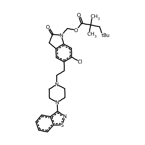 CC(C)(C)CC(C)(C)C(=O)OCN1C(=O)Cc2cc(CCN3CCN(c4nsc5ccccc45)CC3)c(Cl)cc21